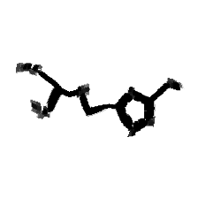 CCOC(=O)C(C)NCc1nnc(Br)s1